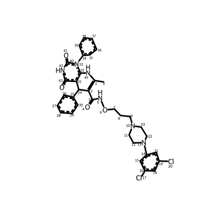 CC1=C(C(=O)NOCCCN2CCN(c3cc(Cl)cc(Cl)c3)CC2)C(c2ccccc2)c2c(n(-c3ccccc3)c(=O)[nH]c2=O)N1